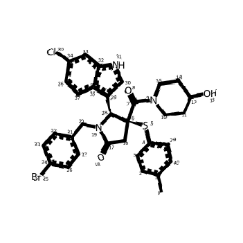 Cc1ccc(S[C@@]2(C(=O)N3CCC(O)CC3)CC(=O)N(Cc3ccc(Br)cc3)[C@H]2c2c[nH]c3cc(Cl)ccc23)cc1